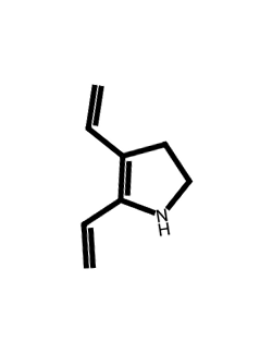 C=CC1=C(C=C)NCC1